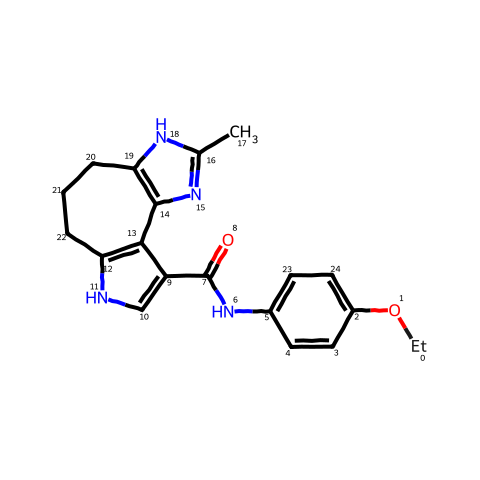 CCOc1ccc(NC(=O)c2c[nH]c3c2-c2nc(C)[nH]c2CCC3)cc1